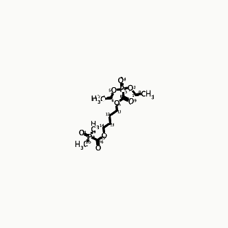 CCOP(=O)(OCC)C(=O)OCCCCOC(=O)P(C)(C)=O